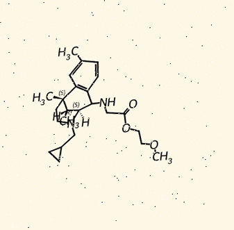 COCCOC(=O)CNC1c2ccc(C)cc2[C@@]2(C)CCN(CC3CC3)[C@H]1[C@@H]2C